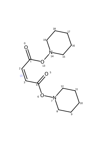 O=C(/C=C\C(=O)ON1CCCCC1)ON1CCCCC1